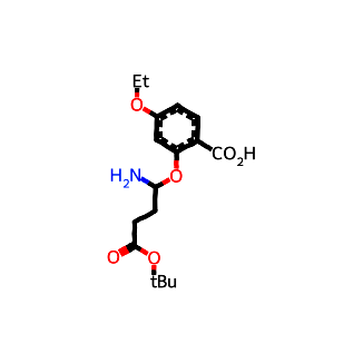 CCOc1ccc(C(=O)O)c(OC(N)CCC(=O)OC(C)(C)C)c1